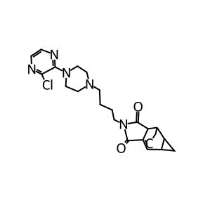 O=C1C2=C3CCC(C2C(=O)N1CCCCN1CCN(c2nccnc2Cl)CC1)C1CC31